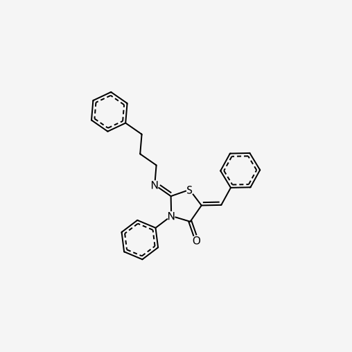 O=C1C(=Cc2ccccc2)SC(=NCCCc2ccccc2)N1c1ccccc1